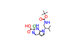 CC(C)C(CNC(=O)OC(C)(C)C)n1ccc2c1NC(Cl)(C(=O)O)N=C2